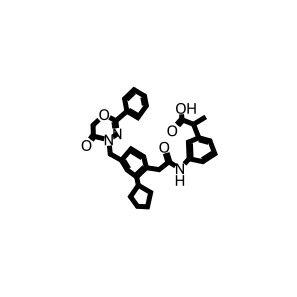 CC(C(=O)O)c1cccc(NC(=O)Cc2ccc(CN3N=C(c4ccccc4)OCC3=O)cc2C2CCCC2)c1